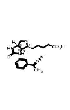 CC(=[N+]=[N-])c1ccccc1.O=C(O)CCCC[C@@H]1SC[C@@H]2NC(=O)N[C@@H]21